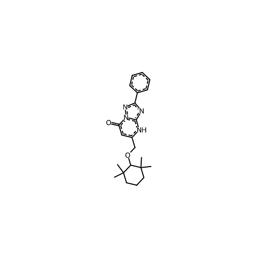 CC1(C)CCCC(C)(C)C1OCc1cc(=O)n2nc(-c3ccccc3)nc2[nH]1